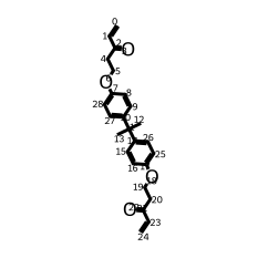 C=CC(=O)CCOc1ccc(C(C)(C)c2ccc(OCCC(=O)C=C)cc2)cc1